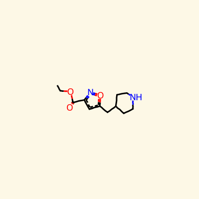 CCOC(=O)c1cc(CC2CCNCC2)on1